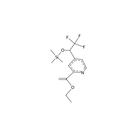 C=C(OCC)c1cc(C(O[Si](C)(C)C)C(F)(F)F)ccn1